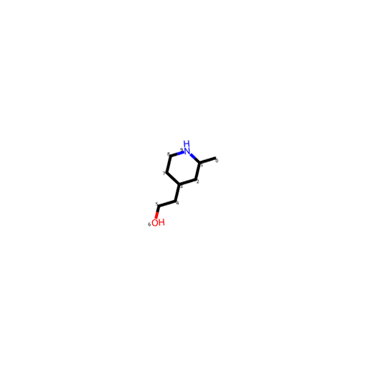 CC1CC(CCO)CCN1